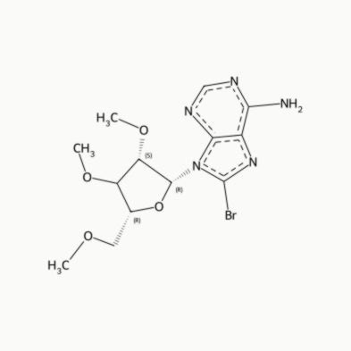 COC[C@H]1O[C@@H](n2c(Br)nc3c(N)ncnc32)[C@@H](OC)C1OC